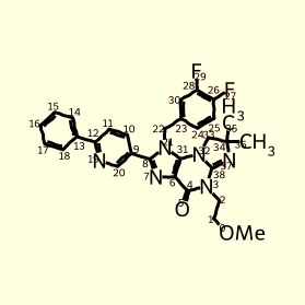 COCCN1C(=O)c2nc(-c3ccc(-c4ccccc4)nc3)n(Cc3ccc(F)c(F)c3)c2N2CC(C)(C)N=C12